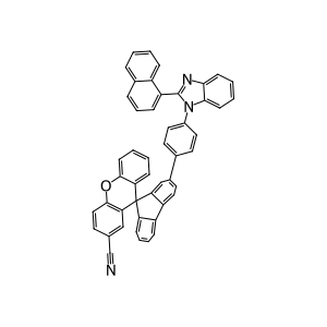 N#Cc1ccc2c(c1)C1(c3ccccc3O2)c2ccccc2-c2ccc(-c3ccc(-n4c(-c5cccc6ccccc56)nc5ccccc54)cc3)cc21